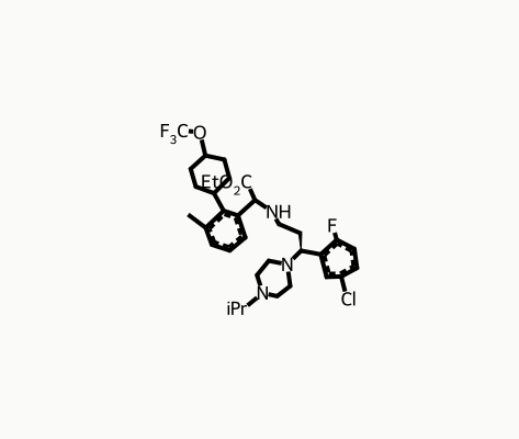 CCOC(=O)C(NCC[C@@H](c1cc(Cl)ccc1F)N1CCN(C(C)C)CC1)c1cccc(C)c1C1CCC(OC(F)(F)F)CC1